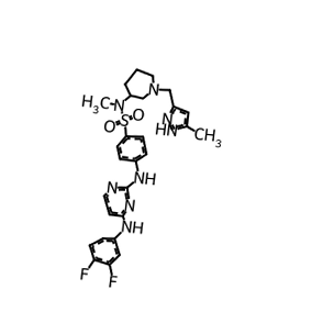 Cc1cc(CN2CCCC(N(C)S(=O)(=O)c3ccc(Nc4nccc(Nc5ccc(F)c(F)c5)n4)cc3)C2)n[nH]1